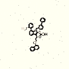 Cc1ccccc1-c1cccc2c(CCCOc3cccc4ccccc34)c(OC(=O)O)n(Cc3cccc(-c4ccccc4)c3)c12